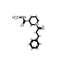 CNC(=O)[C@H]1CCCN(C(=O)CCc2ccccc2)C1